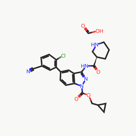 N#Cc1ccc(Cl)c(-c2ccc3c(c2)c(NC(=O)[C@@H]2CCCNC2)nn3C(=O)OCC2CC2)c1.O=CO